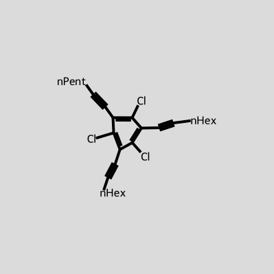 CCCCCC#Cc1c(Cl)c(C#CCCCCCC)c(Cl)c(C#CCCCCCC)c1Cl